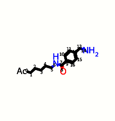 CC(=O)CCCCCNC(=O)c1ccc(CN)cc1